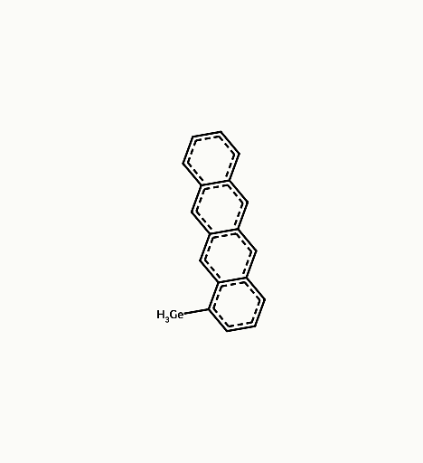 [GeH3][c]1cccc2cc3cc4ccccc4cc3cc12